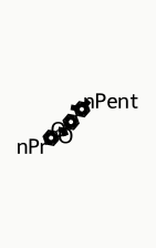 CCCCCC1CCC([C@H]2CC[C@H](C(=O)O[C@H]3CC[C@H](CCC)CC3)CC2)C(C)C1